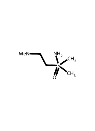 CNCCS(C)(C)(N)=O